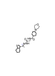 C/C(=N\NC(=O)CNC(=O)c1ccc(N2CCOCC2)cc1)c1csc2ccccc12